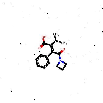 CC(C)/C(C(=O)O)=C(\C(=O)N1CCC1)c1ccccc1